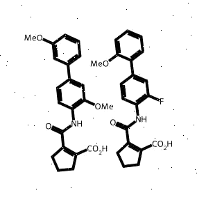 COc1cccc(-c2ccc(NC(=O)C3=C(C(=O)O)CCC3)c(OC)c2)c1.COc1ccccc1-c1ccc(NC(=O)C2=C(C(=O)O)CCC2)c(F)c1